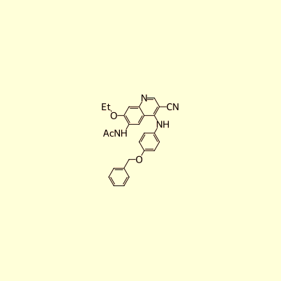 CCOc1cc2ncc(C#N)c(Nc3ccc(OCc4ccccc4)cc3)c2cc1NC(C)=O